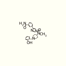 CN(C(=O)n1cnc(-c2cccc(C(N)=O)c2)c1)C1CCN(Cc2ccccc2O)CC1